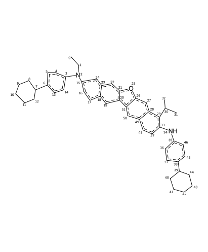 CCN(c1ccc(C2CCCCC2)cc1)c1ccc2cc3c(cc2c1)oc1cc2c(C(C)C)c(Nc4ccc(C5CCCCC5)cc4)ccc2cc13